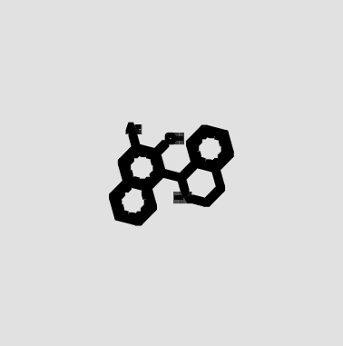 CC(=O)c1cc2ccccc2c(C2NCCc3ccccc32)c1O